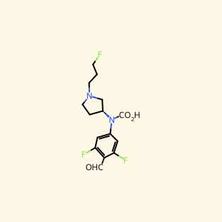 O=Cc1c(F)cc(N(C(=O)O)[C@H]2CCN(CCCF)C2)cc1F